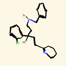 CC(C)N(CCC(C#N)(CCC1=NCCCC1)c1ccccc1Cl)Cc1ccccc1